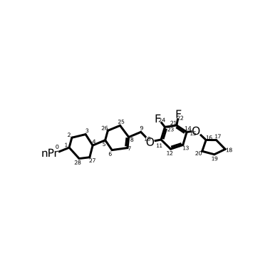 CCCC1CCC(C2CC=C(COc3ccc(OC4CCCC4)c(F)c3F)CC2)CC1